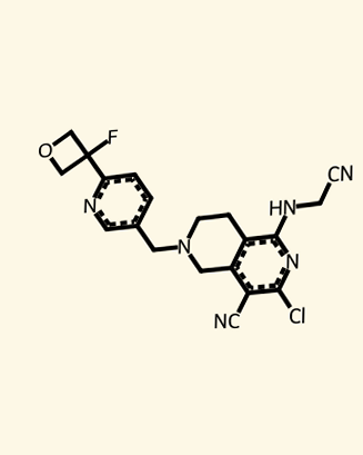 N#CCNc1nc(Cl)c(C#N)c2c1CCN(Cc1ccc(C3(F)COC3)nc1)C2